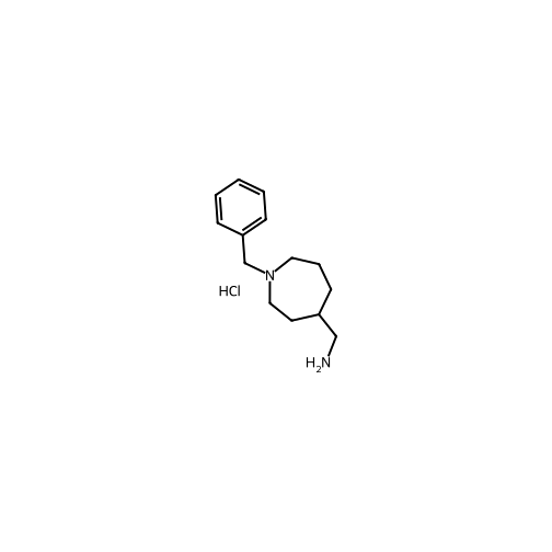 Cl.NCC1CCCN(Cc2ccccc2)CC1